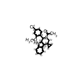 COc1cc(Cl)ccc1C1c2[nH]c3ccccc3c2C2(CC2)CN1C(C)=O